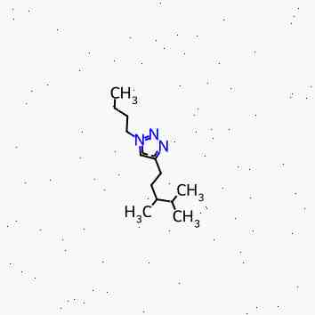 CCCCn1cc(CCC(C)C(C)C)nn1